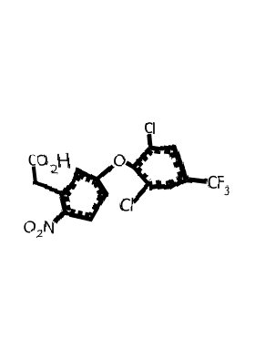 O=C(O)Cc1cc(Oc2c(Cl)cc(C(F)(F)F)cc2Cl)ccc1[N+](=O)[O-]